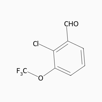 O=Cc1cccc(OC(F)(F)F)c1Cl